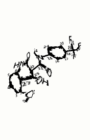 COc1cccc2[nH]c(=O)c(C(=O)N(C)c3ccc(C(F)(F)F)cc3)c(O)c12